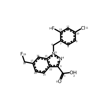 O=C(O)c1nn(Cc2ccc(Cl)cc2F)c2cc(CF)ccc12